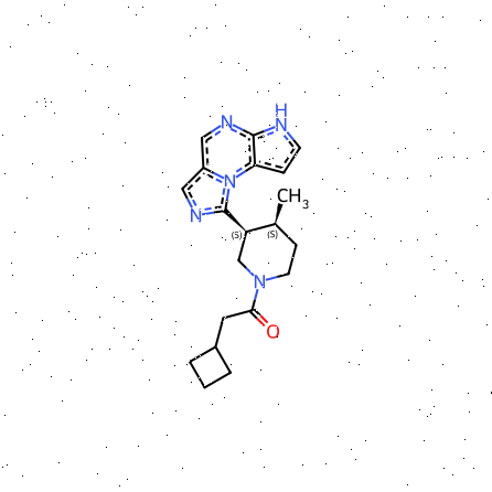 C[C@H]1CCN(C(=O)CC2CCC2)C[C@H]1c1ncc2cnc3[nH]ccc3n12